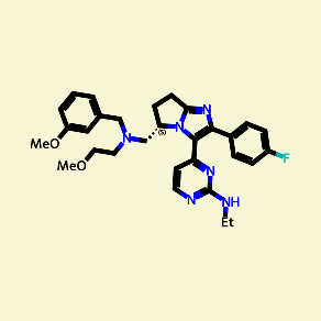 CCNc1nccc(-c2c(-c3ccc(F)cc3)nc3n2[C@H](CN(CCOC)Cc2cccc(OC)c2)CC3)n1